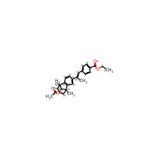 CCOC(=O)c1ccc(/C=C(\C)c2ccc3c(c2)C2(C)CCCC3(C)C2OC(C)=O)cc1